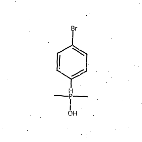 C[PH](C)(O)c1ccc(Br)cc1